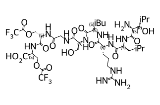 CC[C@H](C)[C@H](NC(=O)[C@@H](CCCNC(=N)N)NC(=O)[C@H](CC(C)C)NC(=O)[C@@H](N)[C@H](O)C(C)C)C(=O)N[C@@H](CO)C(=O)NCC(=O)N[C@@H](COC(=O)C(F)(F)F)C(=O)N[C@@H](COC(=O)C(F)(F)F)C(=O)O